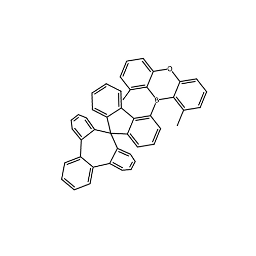 Cc1cccc2c1B(c1cccc3c1-c1ccccc1C31c3ccccc3-c3ccccc3-c3ccccc31)c1c(C)cccc1O2